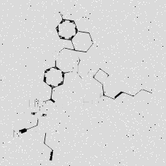 C=CCC[C@H](C#N)S(=O)(=O)NC(=O)c1ccc2c(c1)N(C[C@@H]1CC[C@H]1[C@@H](O)/C=C/CCC)C[C@@]1(CCCc3cc(Cl)ccc31)CO2